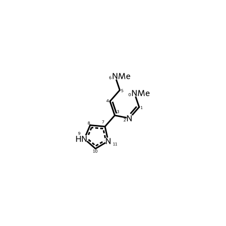 CN/C=N\C(=C/CNC)c1c[nH]cn1